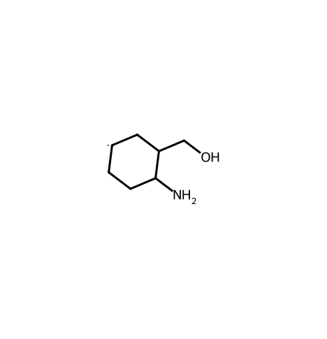 NC1CC[CH]CC1CO